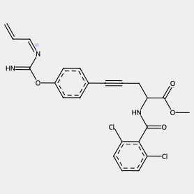 C=C/C=N\C(=N)Oc1ccc(C#CCC(NC(=O)c2c(Cl)cccc2Cl)C(=O)OC)cc1